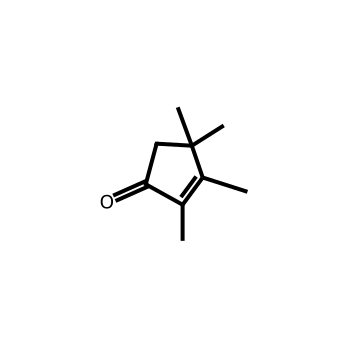 CC1=C(C)C(C)(C)CC1=O